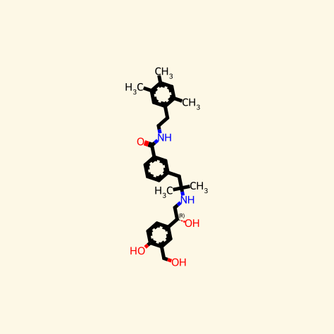 Cc1cc(C)c(CCNC(=O)c2cccc(CC(C)(C)NC[C@H](O)c3ccc(O)c(CO)c3)c2)cc1C